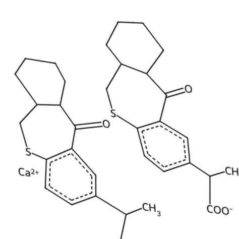 CC(C(=O)[O-])c1ccc2c(c1)C(=O)C1CCCCC1CS2.CC(C(=O)[O-])c1ccc2c(c1)C(=O)C1CCCCC1CS2.[Ca+2]